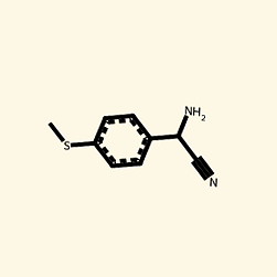 CSc1ccc(C(N)C#N)cc1